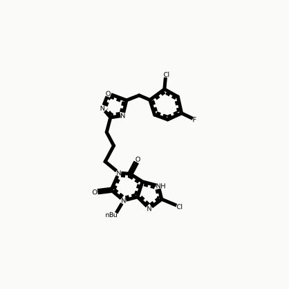 CCCCn1c(=O)n(CCCc2noc(Cc3ccc(F)cc3Cl)n2)c(=O)c2[nH]c(Cl)nc21